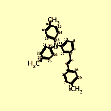 Cc1ccc(/C=C/c2cccc(N(c3ccc(C)cc3)c3ccc(C)cc3)c2)cc1